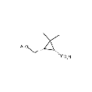 CC(=O)OC[C@H]1[C@@H](C(=O)O)C1(C)C